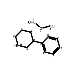 CC(C)(C)OC=O.c1ccc(C2CCCNC2)cc1